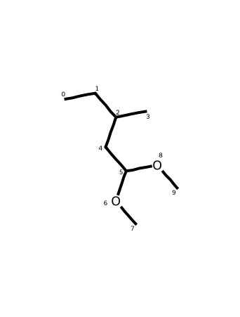 CCC(C)CC(OC)OC